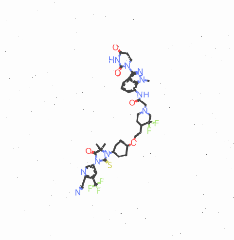 Cn1nc(N2CCC(=O)NC2=O)c2cccc(NC(=O)CN3CCC(CCOC4CCC(N5C(=S)N(c6cnc(C#N)c(C(F)(F)F)c6)C(=O)C5(C)C)CC4)C(F)(F)C3)c21